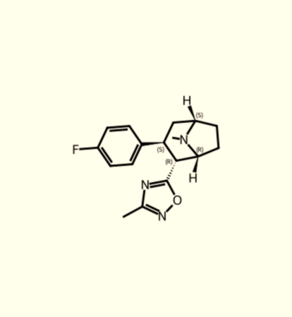 Cc1noc([C@@H]2[C@@H](c3ccc(F)cc3)C[C@@H]3CC[C@H]2N3C)n1